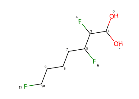 OC(O)C(F)C(F)CCCCF